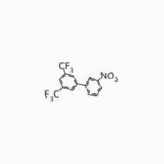 O=[N+]([O-])c1cccc(-c2cc(C(F)(F)F)cc(C(F)(F)F)c2)c1